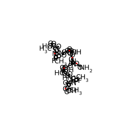 CC[C@@]1(O)C(=O)OCc2c1cc1n(c2=O)Cc2c-1nc1cc(F)c(C)c3c1c2[C@@H](NC(=O)OCOP(=O)(O)OP(=O)(O)OCCOc1nc(OCCON)nc(OCCOP(=O)(O)OP(=O)(O)OCOC(=O)N[C@H]2CCc4c(C)c(F)cc5nc6c(c2c45)Cn2c-6cc4c(c2=O)COC(=O)[C@]4(O)CC)n1)CC3